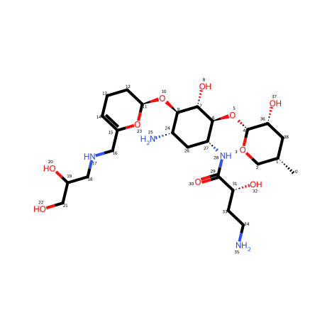 C[C@@H]1CO[C@H](O[C@@H]2[C@@H](O)[C@H](O[C@@H]3CCC=C(CNCC(O)CO)O3)[C@@H](N)C[C@H]2NC(=O)[C@H](O)CCN)[C@H](O)C1